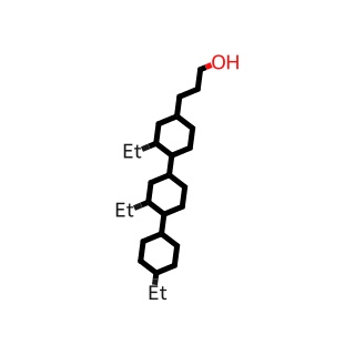 CCC1CCC(C2CCC(C3CCC(CCCO)CC3CC)CC2CC)CC1